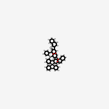 c1cc(-c2cccc3ccccc23)cc(N(c2ccccc2-c2cccc3c2oc2c4ccccc4ccc32)c2cccc3c2-c2ccccc2C32c3ccccc3-c3ccccc32)c1